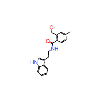 Cc1ccc(C(=O)NCCc2c[nH]c3ccccc23)c(C[O])c1